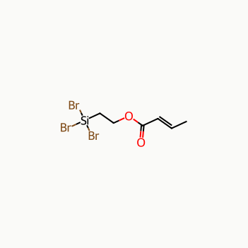 CC=CC(=O)OCC[Si](Br)(Br)Br